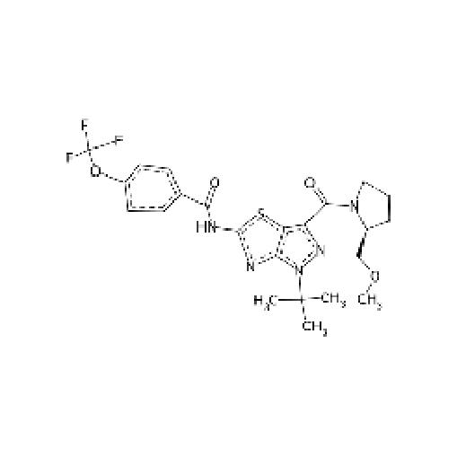 COC[C@@H]1CCCN1C(=O)c1nn(C(C)(C)C)c2nc(NC(=O)c3ccc(OC(F)(F)F)cc3)sc12